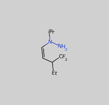 CCC(/C=C\N(N)C(C)C)C(F)(F)F